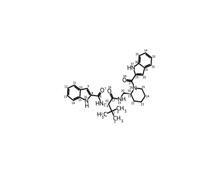 CC(C)(C)[C@H](NC(=O)c1cc2ccccc2[nH]1)C(=O)NC[C@@H]1CCCCN1C(=O)c1cc2ccccc2[nH]1